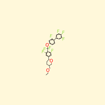 CCOCC1CCC(c2cc(F)c(C(F)(F)Oc3ccc(-c4cc(F)c(F)c(F)c4)c(F)c3)c(F)c2)OC1